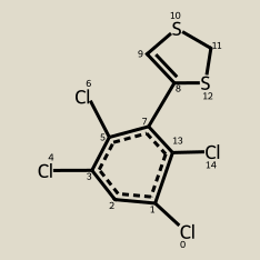 Clc1cc(Cl)c(Cl)c(C2=CSCS2)c1Cl